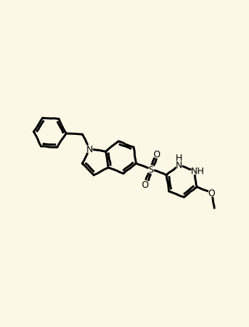 COC1=CC=C(S(=O)(=O)c2ccc3c(ccn3Cc3ccccc3)c2)NN1